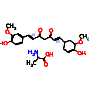 CC(N)C(=O)O.COc1cc(/C=C/C(=O)CC(=O)/C=C/C2CC=C(O)C(OC)C2)ccc1O